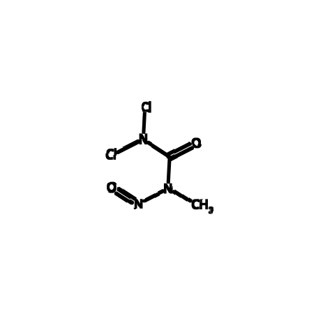 CN(N=O)C(=O)N(Cl)Cl